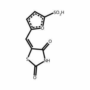 O=C1NC(=O)/C(=C\c2ccc(S(=O)(=O)O)o2)S1